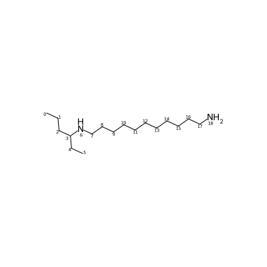 CCCC(CC)NCCCCCCCCCCCN